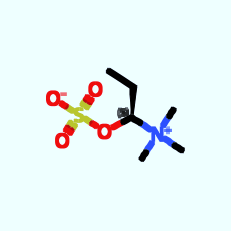 CC[C@H](OS(=O)(=O)[O-])[N+](C)(C)C